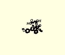 C=CCn1c2c3c4c(cccc41)C1C[C@@H](C4CCCC(OCC)CC4)CN(CC)[C@@H]1C3OC2=O.O=C(O)CCC(=O)O